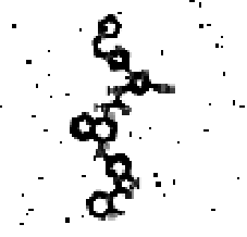 C[C@H]1CCCCN1c1nnc2ccc(O[C@@H]3CC[C@H](NC(=O)Nc4cc(C(C)(C)C)nn4-c4cnn(CCN5CCCC5)c4)c4ccccc43)cn12